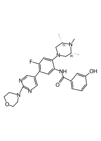 C[C@@H]1CN(c2cc(F)c(-c3cnc(N4CCOCC4)nc3)cc2NC(=O)c2cccc(O)c2)C[C@H](C)N1C